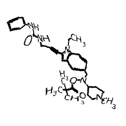 CCn1c(C#CCNC(=O)Nc2ccccc2)cc2cc(CN(OC(=O)C(C)(C)C)C3CCN(C)CC3)ccc21